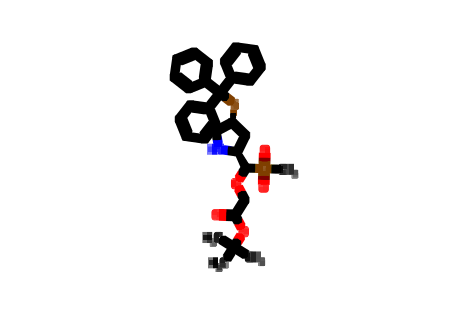 CC(C)(C)OC(=O)COC([C@@H]1C[C@@H](SC(c2ccccc2)(c2ccccc2)c2ccccc2)CN1)S(C)(=O)=O